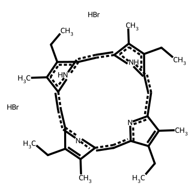 Br.Br.CCC1=C(C)c2cc3[nH]c(cc4[nH]c(cc5nc(cc1n2)C(C)=C5CC)c(C)c4CC)c(C)c3CC